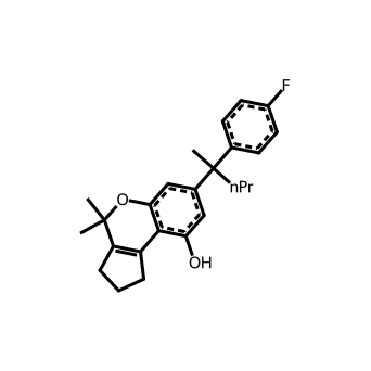 CCCC(C)(c1ccc(F)cc1)c1cc(O)c2c(c1)OC(C)(C)C1=C2CCC1